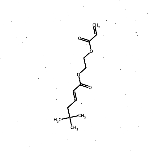 C=CC(=O)OCCOC(=O)C=CCC(C)(C)C